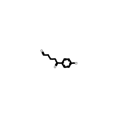 O=CCCCC(=O)c1ccc(Cl)cc1